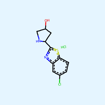 Cl.OC1CNC(c2nc3cc(Cl)ccc3s2)C1